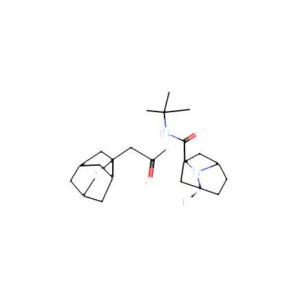 CC(C)(C)NC(=O)CN1C2CC[C@@H]1C[C@H](CC(=O)CC13CC4CC(CC1C4)C3)C2